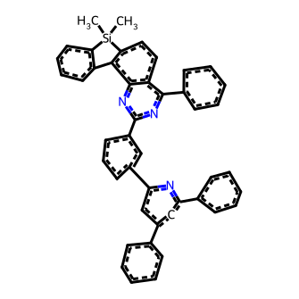 C[Si]1(C)c2ccccc2-c2c1ccc1c(-c3ccccc3)nc(-c3cccc(-c4cc(-c5ccccc5)cc(-c5ccccc5)n4)c3)nc21